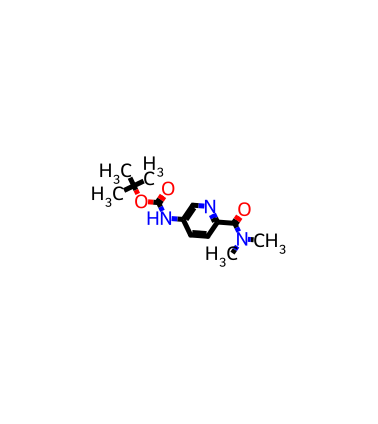 CN(C)C(=O)c1ccc(NC(=O)OC(C)(C)C)cn1